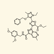 CCOC(=O)c1oc(-c2c(OCc3ccccc3)c(C)nn2CC)nc1-n1nc(C(=O)NCc2ccc(OC)cc2OC)c2cc(C)ncc21